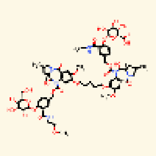 C=C1C[C@H]2C(O)N(C(=O)OCc3ccc(O[C@@H]4O[C@H](C(=O)O)[C@@H](O)[C@H](O)[C@H]4O)c(C(=O)NCC)c3)c3cc(OCCCCCOc4cc5c(cc4OC)C(=O)N4CC(=C)C[C@H]4C(O)N5C(=O)OCc4ccc(O[C@@H]5O[C@H](CO)[C@H](O)[C@H](O)[C@H]5O)c(C(=O)NCCOC)c4)c(OC)cc3C(=O)N2C1